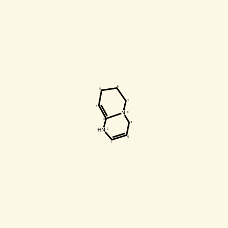 C1=CNC2=CCCCN2C1